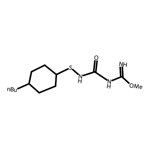 CCCCC1CCC(SNC(=O)NC(=N)OC)CC1